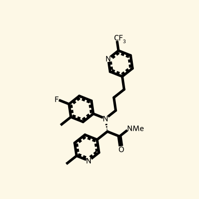 CNC(=O)[C@H](c1ccc(C)nc1)N(CCCc1ccc(C(F)(F)F)nc1)c1ccc(F)c(C)c1